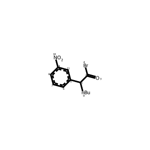 CCCCC(C(=O)Br)c1cccc([N+](=O)[O-])c1